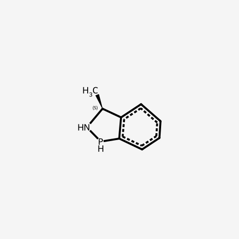 C[C@@H]1NPc2ccccc21